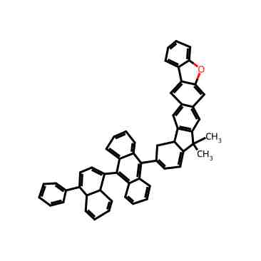 CC1(C)C2=CC=C(c3c4ccccc4c(C4=CC=C(c5ccccc5)C5C=CC=CC45)c4ccccc34)CC2c2cc3cc4c(cc3cc21)oc1ccccc14